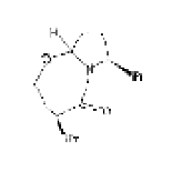 CC(C)[C@H]1CCO[C@H]2CC[C@@H](C(C)C)N2C1=O